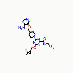 CC1(F)CC1COc1nc(C(=O)NCC(F)(F)F)nc(N2CCC(COc3cncnc3N)CC2)n1